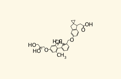 Cc1cc(OC[C@@H](O)CO)cc(C)c1-c1cccc(COc2ccc3c(c2)CC2(CC2)C3CC(=O)O)c1C